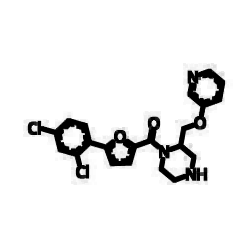 O=C(c1ccc(-c2ccc(Cl)cc2Cl)o1)N1CCNCC1COc1cccnc1